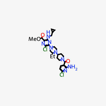 CC[C@H]1CN(c2nc(NCC3CC3)c(C(=O)OC)nc2Cl)CCN1C1CCN(C(=O)c2ccc(Cl)nc2N)CC1